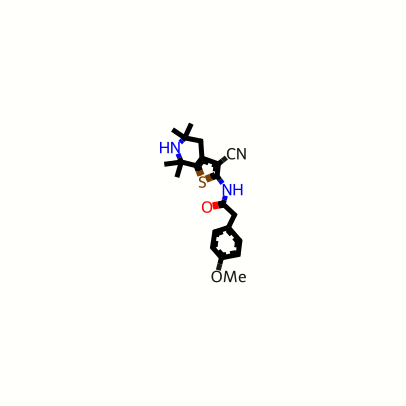 COc1ccc(CC(=O)Nc2sc3c(c2C#N)CC(C)(C)NC3(C)C)cc1